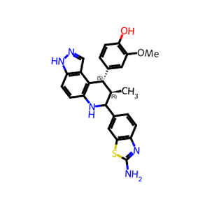 COc1cc([C@H]2c3c(ccc4[nH]ncc34)NC(c3ccc4nc(N)sc4c3)[C@@H]2C)ccc1O